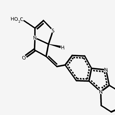 O=C(O)C1=CS[C@@H]2/C(=C\c3ccc4nc5n(c4c3)CCCS5)C(=O)N12